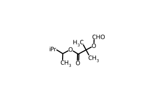 CC(C)C(C)OC(=O)C(C)(C)OC=O